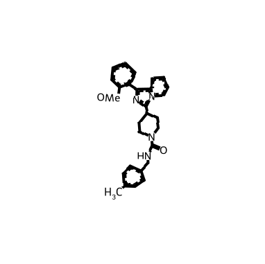 COc1ccccc1-c1nc(C2CCN(C(=O)NCc3ccc(C)cc3)CC2)n2ccccc12